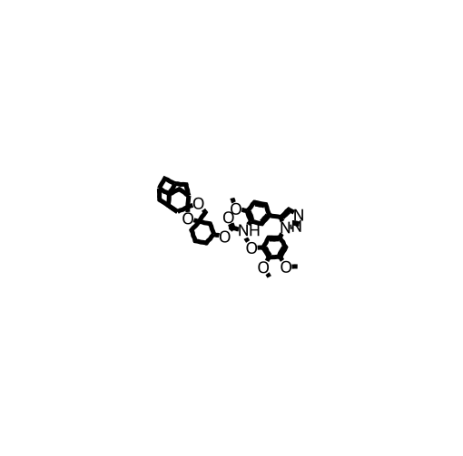 COc1ccc(-c2cnnn2-c2cc(OC)c(OC)c(OC)c2)cc1NC(=O)OC1CCCC2(COC3(O2)C2CC4CC5CC3CC45C2)C1